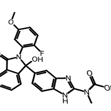 COc1ccc(F)c(N2C(=O)c3ccccc3C2(O)c2ccc3[nH]c(N(C)C(=O)O)nc3c2)c1